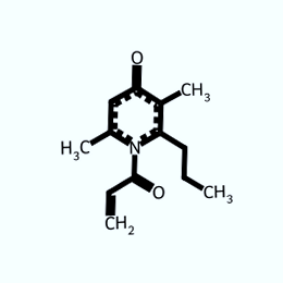 C=CC(=O)n1c(C)cc(=O)c(C)c1CCC